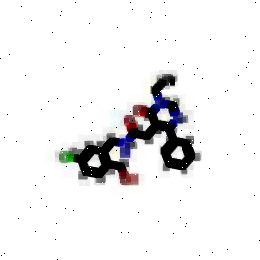 CC(C)Cn1cnc(-c2ccccc2)c(CC(=O)NCc2cc(Cl)ccc2CO)c1=O